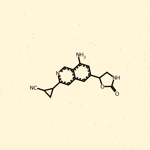 N#CC1CC1c1cc2cc(C3CNC(=O)O3)cc(N)c2cn1